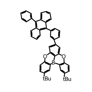 CC(C)(C)c1ccc2c(c1)B1c3cc(C(C)(C)C)ccc3Oc3cc(-c4cccc(-c5c6ccccc6c(-c6ccccc6)c6ccccc56)c4)cc(c31)O2